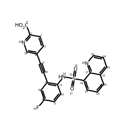 O=C(O)c1ccc(C#Cc2cc(F)ccc2NS(=O)(=O)c2cccc3cccnc23)cn1